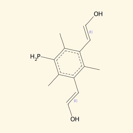 Cc1c(P)c(C)c(/C=C/O)c(C)c1/C=C/O